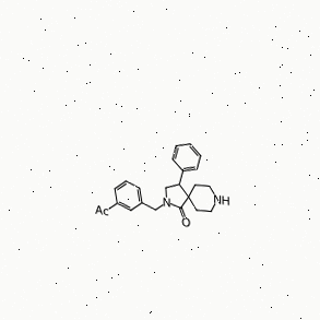 CC(=O)c1cccc(CN2CC(c3ccccc3)C3(CCNCC3)C2=O)c1